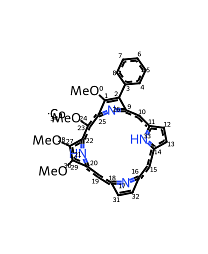 COC1=C(c2ccccc2)c2cc3ccc(cc4nc(cc5[nH]c(c(OC)c1n2)c(OC)c5OC)C=C4)[nH]3.[Co]